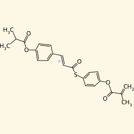 C=C(C)C(=O)Oc1ccc(SC(=O)/C=C/c2ccc(OC(=O)C(C)C)cc2)cc1